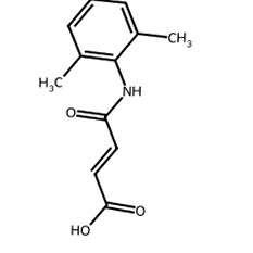 Cc1cccc(C)c1NC(=O)C=CC(=O)O